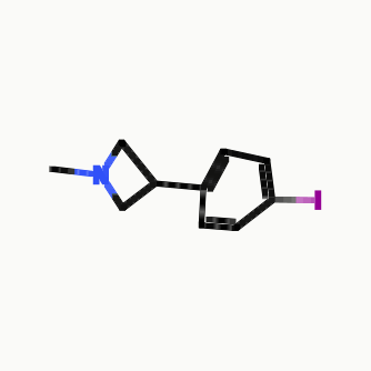 CN1CC(c2ccc(I)cc2)C1